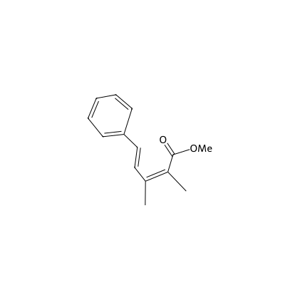 COC(=O)C(C)=C(C)C=Cc1ccccc1